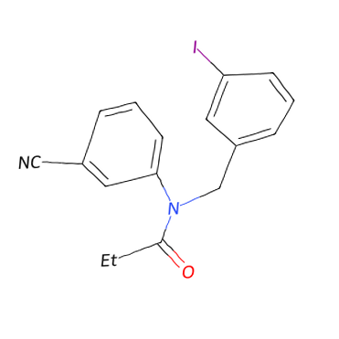 CCC(=O)N(Cc1cccc(I)c1)c1cccc(C#N)c1